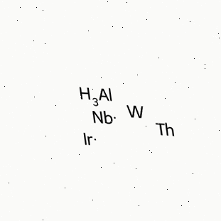 [AlH3].[Ir].[Nb].[Th].[W]